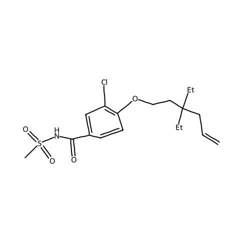 C=CCC(CC)(CC)CCOc1ccc(C(=O)NS(C)(=O)=O)cc1Cl